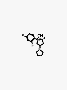 C[N+]1(c2ccc(F)cc2F)CCC(N2CCCC2)C1